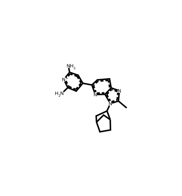 Cc1nc2ccc(-c3cc(N)nc(N)c3)nc2n1C1CC2CCC1C2